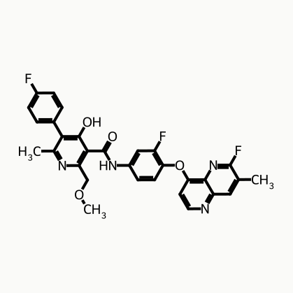 COCc1nc(C)c(-c2ccc(F)cc2)c(O)c1C(=O)Nc1ccc(Oc2ccnc3cc(C)c(F)nc23)c(F)c1